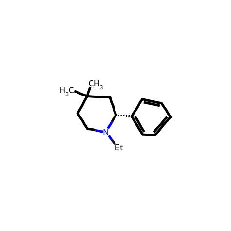 CCN1CCC(C)(C)C[C@@H]1c1ccccc1